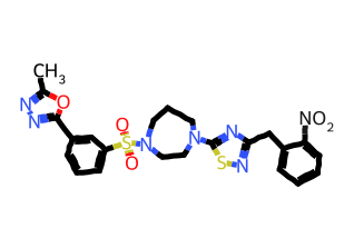 Cc1nnc(-c2cccc(S(=O)(=O)N3CCCN(c4nc(Cc5ccccc5[N+](=O)[O-])ns4)CC3)c2)o1